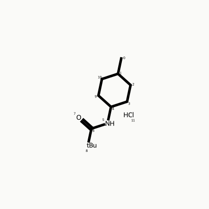 CC1CCC(NC(=O)C(C)(C)C)CC1.Cl